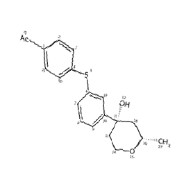 CC(=O)c1ccc(Sc2cccc([C@]3(O)CCO[C@@H](C)C3)c2)cc1